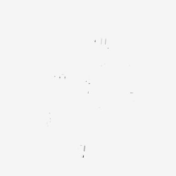 C=C(CF)C(=O)OC(C)C